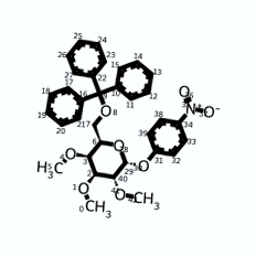 CO[C@H]1[C@@H](OC)[C@@H](COC(c2ccccc2)(c2ccccc2)c2ccccc2)O[C@H](Oc2ccc([N+](=O)[O-])cc2)[C@@H]1OC